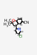 CC1(C)CC(c2ccc(Cl)cn2)c2cc(C#N)ccc2O1